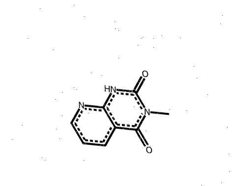 Cn1c(=O)[nH]c2ncccc2c1=O